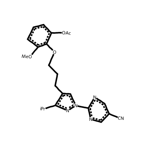 COc1cccc(OC(C)=O)c1OCCCc1cn(-c2ncc(C#N)cn2)nc1C(C)C